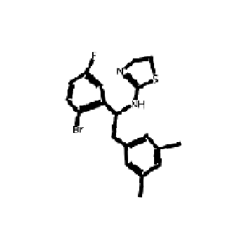 Cc1cc(C)cc(CC(NC2=NCCS2)c2cc(F)ccc2Br)c1